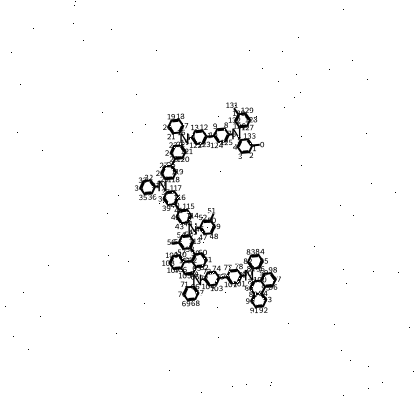 Cc1cccc(N(c2ccc(-c3ccc(N(c4ccccc4)c4ccc(-c5ccc(N(c6ccccc6)c6ccc(-c7ccc(N(c8cccc(C)c8)c8cc(C)cc(-c9cccc%10c(N(c%11ccccc%11)c%11ccc(-c%12ccc(N(c%13ccccc%13)c%13cc%14ccccc%14c%14ccccc%13%14)cc%12)cc%11)cc%11ccccc%11c9%10)c8)cc7)cc6)cc5)cc4)cc3)cc2)c2cccc(C)c2)c1